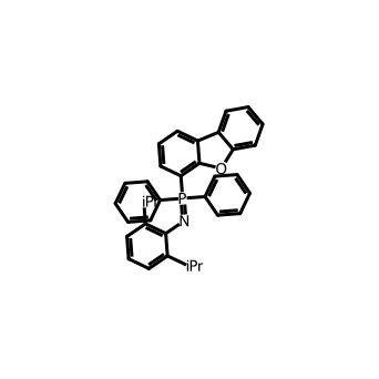 CC(C)c1cccc(C(C)C)c1N=P(c1ccccc1)(c1ccccc1)c1cccc2c1oc1ccccc12